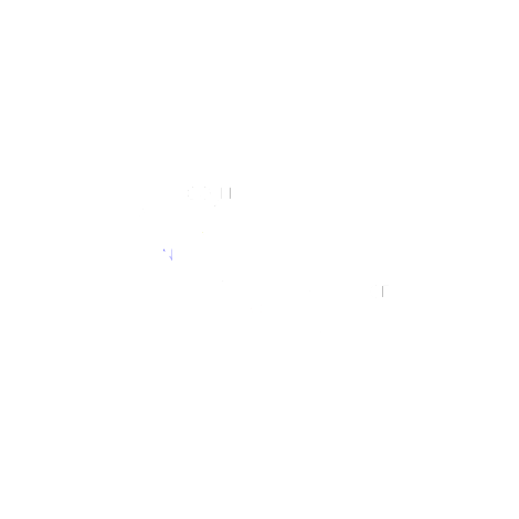 Cc1nc(-c2cccc3oc(Cc4cccc(C(F)(F)F)c4)cc23)sc1C(=O)O